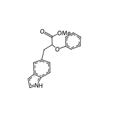 COC(=O)C(Cc1ccc2[nH]ccc2c1)Oc1ccccc1